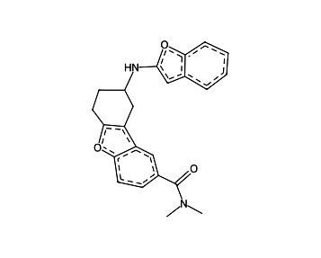 CN(C)C(=O)c1ccc2oc3c(c2c1)CC(Nc1cc2ccccc2o1)CC3